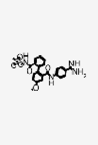 COc1ccc(-c2ccccc2C(=O)NOS(C)(=O)=O)c(C(=O)Nc2ccc(C(=N)N)cc2)c1